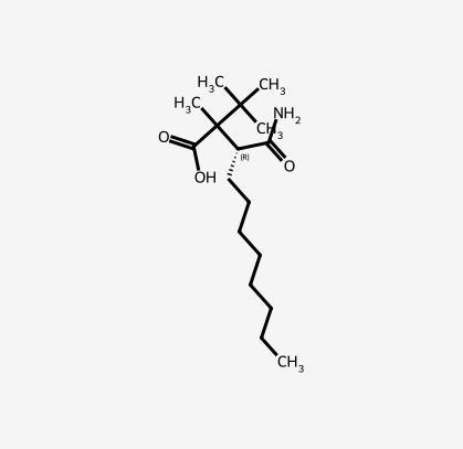 CCCCCCCC[C@@H](C(N)=O)C(C)(C(=O)O)C(C)(C)C